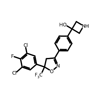 OC1(c2ccc(C3=NOC(c4cc(Cl)c(F)c(Cl)c4)(C(F)(F)F)C3)cc2)CNC1